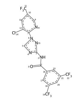 O=C(Nc1ncn(-c2ncc(C(F)(F)F)cc2Cl)n1)c1cc(C(F)(F)F)cc(C(F)(F)F)c1